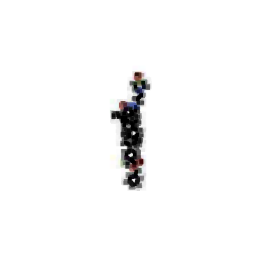 CC(C)C1=C2[C@H]3CC[C@@H]4[C@@]5(C)CC=C(C6=CC[C@](CF)(C(=O)OCc7ccccc7)CC6)C(C)(C)[C@@H]5CC[C@@]4(C)[C@]3(C)CC[C@@]2(CNCCCN2CC[S+]([O-])CC2)CC1=O